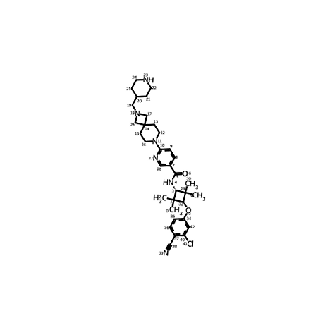 CC1(C)[C@H](NC(=O)c2ccc(N3CCC4(CC3)CN(CC3CCNCC3)C4)nc2)C(C)(C)[C@H]1Oc1ccc(C#N)c(Cl)c1